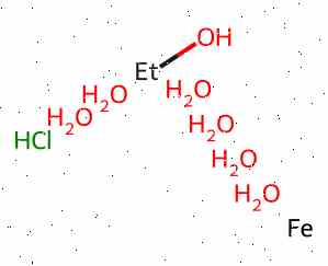 CCO.Cl.O.O.O.O.O.O.[Fe]